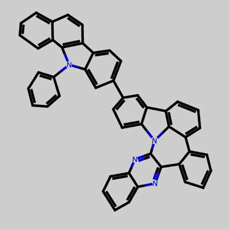 c1ccc(-n2c3cc(-c4ccc5c(c4)c4cccc6c4n5-c4nc5ccccc5nc4-c4ccccc4-6)ccc3c3ccc4ccccc4c32)cc1